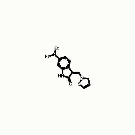 CCN(CC)c1ccc2c(c1)NC(=O)C2=CN1CC=CS1